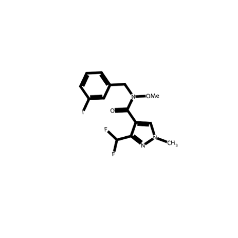 CON(Cc1cccc(I)c1)C(=O)c1cn(C)nc1C(F)F